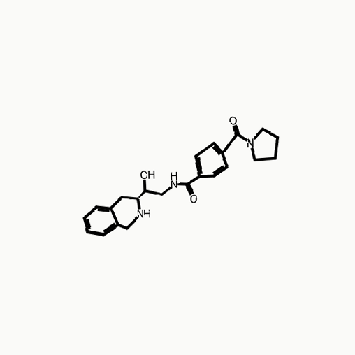 O=C(NCC(O)[C@@H]1Cc2ccccc2CN1)c1ccc(C(=O)N2CCCC2)cc1